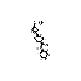 O=C(O)c1cnc(N2CCC(C(=O)Nc3ccccc3)CC2)s1